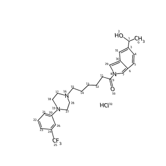 CC(O)c1ccc2cn(C(=O)CCCCCN3CCN(c4cccc(C(F)(F)F)c4)CC3)cc2c1.Cl